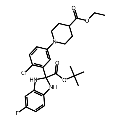 CCOC(=O)C1CCN(c2ccc(Cl)c(C3(C(=O)OC(C)(C)C)Nc4ccc(F)cc4N3)c2)CC1